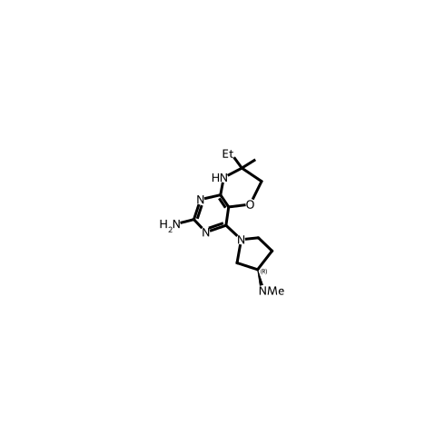 CCC1(C)COc2c(nc(N)nc2N2CC[C@@H](NC)C2)N1